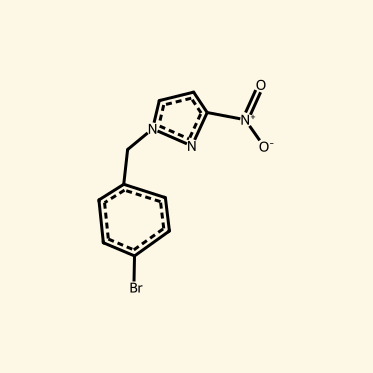 O=[N+]([O-])c1ccn(Cc2ccc(Br)cc2)n1